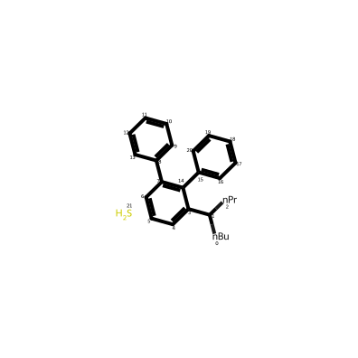 CCCCC(CCC)c1cccc(-c2ccccc2)c1-c1ccccc1.S